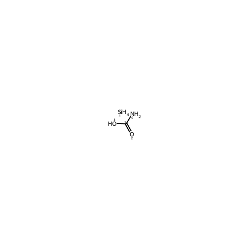 NC(=O)O.[SiH4]